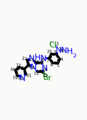 NN(Cl)c1cccc(Nc2nc(Br)cn3c(-c4cccnc4)cnc23)c1